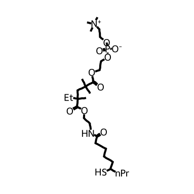 CCCC(S)CCCCC(=O)NCCOC(=O)C(C)(CC)CC(C)(C)C(=O)OCCOP(=O)([O-])OCC[N+](C)(C)C